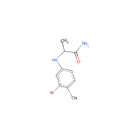 CC(Nc1ccc(C#N)c(Br)c1)C(N)=O